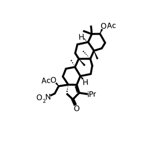 CC(=O)O[C@H]1CC[C@@]2(C)[C@@H](CC[C@]3(C)[C@]2(C)CC[C@@H]2C4=C(C(C)C)C(=O)C[C@]4([C@@H](C[N+](=O)[O-])OC(C)=O)CC[C@]23C)C1(C)C